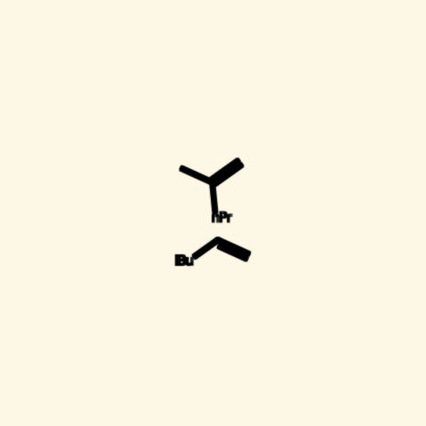 C=C(C)CCC.C=CC(C)CC